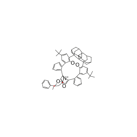 CCCc1cc2[n+](C(=O)OCc3ccccc3)c(c1)-c1ccccc1-c1cc(C(C)(C)C)cc(C34CC5CC(CC(C5)C3)C4)c1OOc1c(cc(C(C)(C)C)cc1C13CC4CC(CC(C4)C1)C3)-c1ccccc1-2